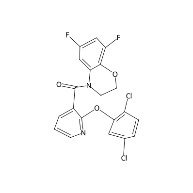 O=C(c1cccnc1Oc1cc(Cl)ccc1Cl)N1CCOc2c(F)cc(F)cc21